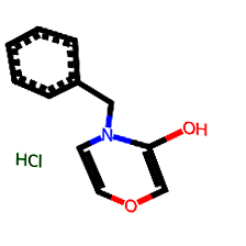 Cl.OC1=COC=CN1Cc1ccccc1